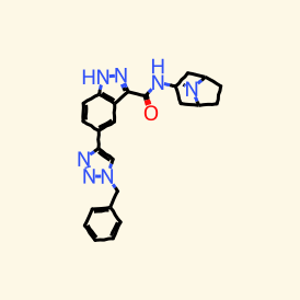 CN1C2CCC1CC(NC(=O)c1n[nH]c3ccc(-c4cn(Cc5ccccc5)nn4)cc13)C2